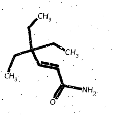 CCC(C=CC(N)=O)(CC)CC